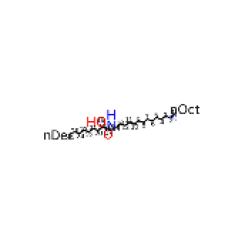 CCCCCCCC/C=C\CCCCCCCCCCCCNC(=O)C(O)CCCCCCCCCCCCCCCC